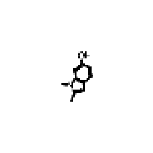 Cc1cc2ccc(O)cc2n1C